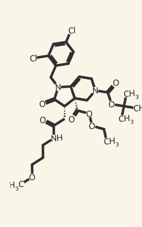 CCOOC(=O)[C@@]12CN(C(=O)OC(C)(C)C)CC=C1N(Cc1ccc(Cl)cc1Cl)C(=O)[C@H]2CC(=O)NCCCOC